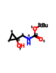 CC(C)(C)OC(=O)NCC1(O)CC1